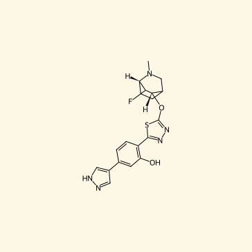 CN1CC2CC[C@H]1C(F)[C@H]2Oc1nnc(-c2ccc(-c3cn[nH]c3)cc2O)s1